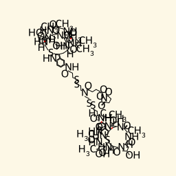 CCC(C)C[C@@H]1NC(=O)[C@@H]2Cc3c([nH]c4ccc(NC(=O)CCSSCCN(CCSSCCC(=O)Nc5ccc6[nH]c7c(c6c5)C[C@@H]5NC(=O)[C@H](C)NC(=O)[C@@H]6C[C@@H](O)CN6C(=O)[C@@H](CS7)NC(=O)[C@@H](C(C)O)NC(=O)[C@H](C)NC(=O)[C@H](CC(C)CC)NC5=O)C(=O)CCC(=O)ON5C(=O)CCC5=O)cc34)SC[C@@H](NC(=O)[C@@H](C(C)O)NC(=O)[C@H](C)CNC1=O)C(=O)N1C[C@H](O)C[C@H]1C(=O)N[C@@H](C)C(=O)N2